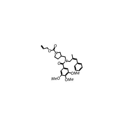 C=CCOC(=O)N1CCC(CN(CC(C)=Cc2ccccc2)C(=O)c2cc(OC)c(OC)c(OC)c2)C1